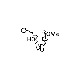 COC(=O)c1ccc(/C=C\CN2C(=O)CC[C@@H]2CC[C@@H](O)[C@@H](C)CCCCCc2ccccc2)s1